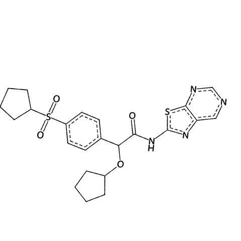 O=C(Nc1nc2cncnc2s1)C(OC1CCCC1)c1ccc(S(=O)(=O)C2CCCC2)cc1